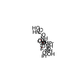 CC(C)[C@H](O)C(=O)N[C@H]1Cc2ccc3c(c2)C2(C4=C(CCC=C4)NC2O3)c2oc(nc2C(=O)NCC(=O)c2c[nH]c3c(O)cccc23)[C@H](C(C)C)NC1=O